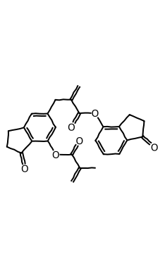 C=C(C)C(=O)Oc1cc(CC(=C)C(=O)Oc2cccc3c2CCC3=O)cc2c1C(=O)CC2